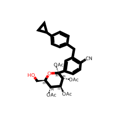 CC(=O)O[C@H]1[C@H](OC(C)=O)[C@@H](CO)O[C@@](OC(C)=O)(c2ccc(C#N)c(Cc3ccc(C4CC4)cc3)c2)[C@@H]1OC(C)=O